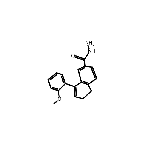 COc1ccccc1C1=CCCc2ccc(C(=O)NN)cc21